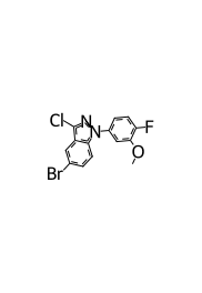 COc1cc(-n2nc(Cl)c3cc(Br)ccc32)ccc1F